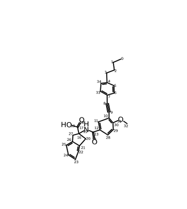 CCCCc1ccc(C#Cc2cc(C(=O)NC3(C(=O)O)Cc4ccccc4C3)ccc2OC)cc1